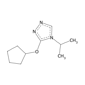 CC(C)n1cnnc1OC1CCCC1